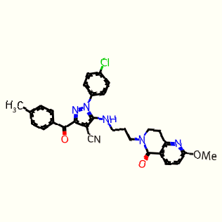 COc1ccc2c(n1)CCN(CCCNc1c(C#N)c(C(=O)c3ccc(C)cc3)nn1-c1ccc(Cl)cc1)C2=O